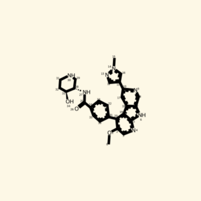 COc1cnc2[nH]c3cnc(-c4cnn(C)c4)cc3c2c1-c1ccc(C(=O)N[C@H]2CNCC[C@@H]2O)cc1